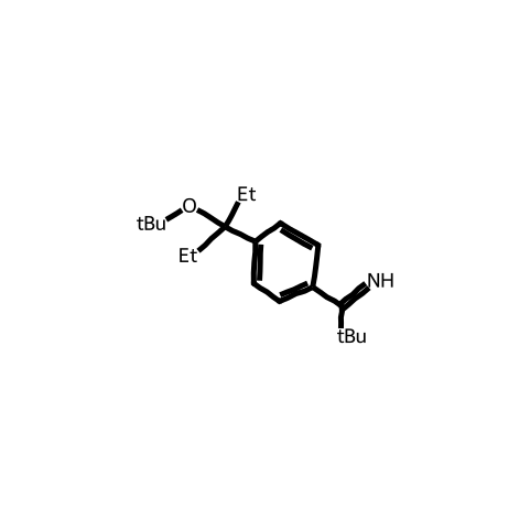 CCC(CC)(OC(C)(C)C)c1ccc(C(=N)C(C)(C)C)cc1